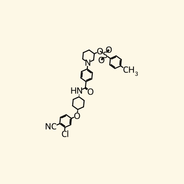 Cc1ccc(S(=O)(=O)OC2CCCN(c3ccc(C(=O)N[C@H]4CC[C@H](Oc5ccc(C#N)c(Cl)c5)CC4)cc3)C2)cc1